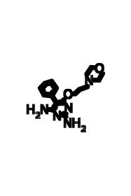 Nc1nc(N)c(-c2ccccc2)c(OCCCN2CCOCC2)n1